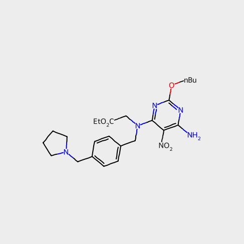 CCCCOc1nc(N)c([N+](=O)[O-])c(N(CC(=O)OCC)Cc2ccc(CN3CCCC3)cc2)n1